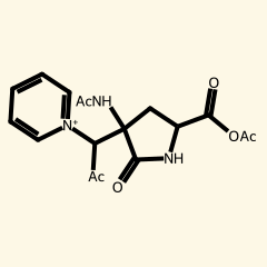 CC(=O)NC1(C(C(C)=O)[n+]2ccccc2)CC(C(=O)OC(C)=O)NC1=O